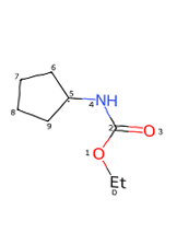 CCOC(=O)N[C]1CCCC1